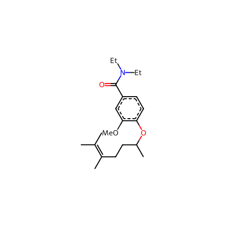 CCN(CC)C(=O)c1ccc(OC(C)CCC(C)=C(C)C)c(OC)c1